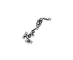 CC(C)CCC[C@@H](C)[C@H]1CC[C@H]2[C@@H]3CCC4CC(OC/C=C/c5ccc(C(=O)Oc6ccc7c(c6)C6C(=O)OC(=O)C6CC7C6CC(=O)OC6=O)cc5)CC[C@]4(C)[C@H]3CC[C@]12C